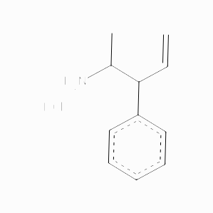 C=CC(c1ccccc1)C(C)N.Cl